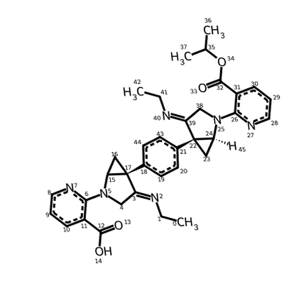 CCN=C1CN(c2ncccc2C(=O)O)C2C[C@]12c1ccc([C@]23C[C@@H]2N(c2ncccc2C(=O)OC(C)C)CC3=NCC)cc1